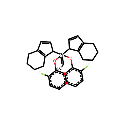 C[CH]=[Zr]([O]c1ccccc1F)([O]c1ccccc1F)([CH]1C=CC2=C1CCCC2)[CH]1C=CC2=C1CCCC2